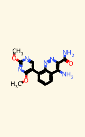 COc1ncc(-c2cccc3c(N)c(C(N)=O)nnc23)c(OC)n1